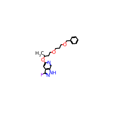 CC(CCOCCCOCc1ccccc1)Oc1cc2c(I)n[nH]c2cn1